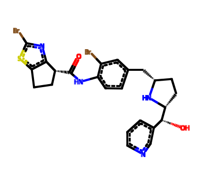 O=C(Nc1ccc(C[C@@H]2CC[C@H]([C@H](O)c3cccnc3)N2)cc1Br)[C@@H]1CCc2sc(Br)nc21